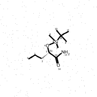 CCC[C@H](O[Si](C)(C)C(C)(C)C)C(N)=O